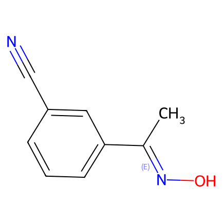 C/C(=N\O)c1cccc(C#N)c1